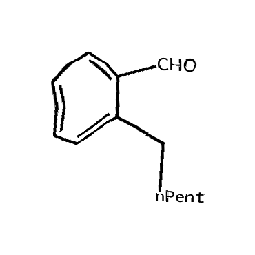 CCCCCCc1ccccc1C=O